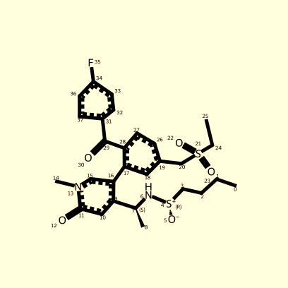 CCCC[S@+]([O-])N[C@@H](C)c1cc(=O)n(C)cc1-c1cc(CS(=O)(=O)CC)ccc1C(=O)c1ccc(F)cc1